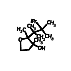 CC(C)C(C)(C)C(C)(C)C1(C)OCCC1(C)O